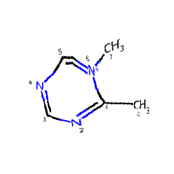 Cc1ncnc[n+]1C